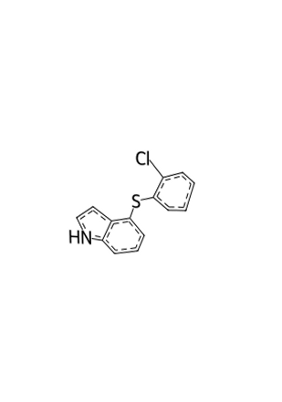 Clc1ccccc1Sc1cccc2[nH]ccc12